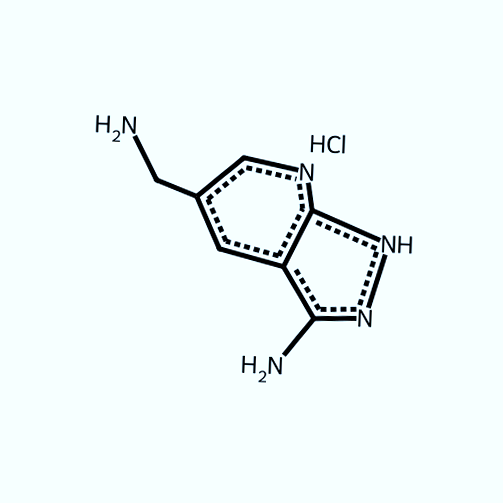 Cl.NCc1cnc2[nH]nc(N)c2c1